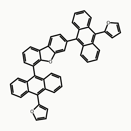 c1coc(-c2c3ccccc3c(-c3ccc4c(c3)oc3c(-c5c6ccccc6c(-c6ccco6)c6ccccc56)cccc34)c3ccccc23)c1